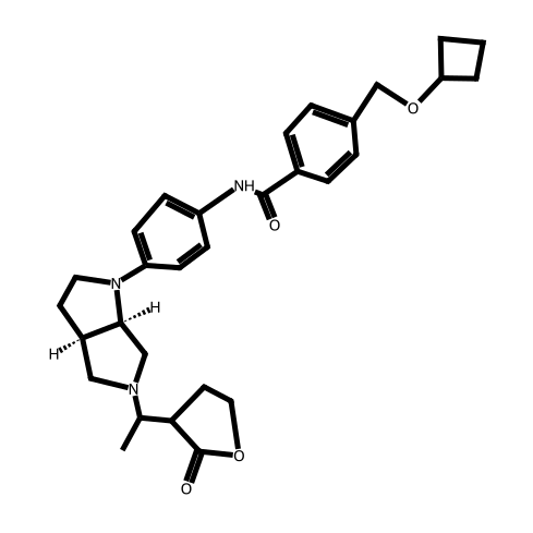 CC(C1CCOC1=O)N1C[C@H]2CCN(c3ccc(NC(=O)c4ccc(COC5CCC5)cc4)cc3)[C@H]2C1